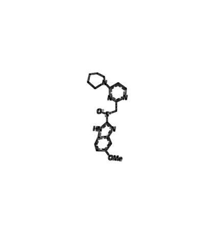 COc1ccc2[nH]c([S+]([O-])Cc3nccc(N4CCCCC4)n3)nc2c1